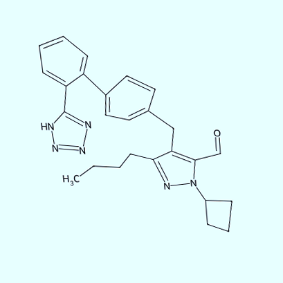 CCCCc1nn(C2CCC2)c(C=O)c1Cc1ccc(-c2ccccc2-c2nnn[nH]2)cc1